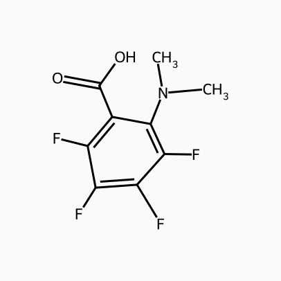 CN(C)c1c(F)c(F)c(F)c(F)c1C(=O)O